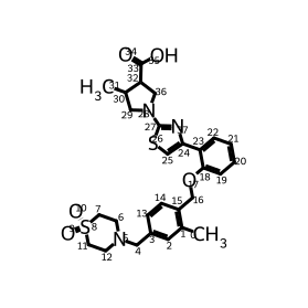 Cc1cc(CN2CCS(=O)(=O)CC2)ccc1COc1ccccc1-c1csc(N2CC(C)C(C(=O)O)C2)n1